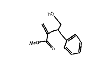 C=C(C(=O)OC)C(CO)c1ccccc1